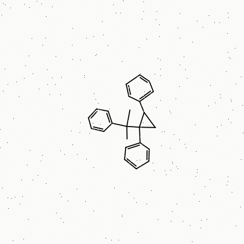 CC(C)(c1ccccc1)C1(c2ccccc2)CC1c1ccccc1